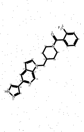 O=C(c1ccccc1C(F)(F)F)N1CCC(Cn2ccc3cc(-c4cn[nH]c4)ncc32)CC1